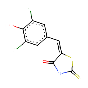 O=C1NC(=S)SC1=Cc1cc(Cl)c(O)c(Cl)c1